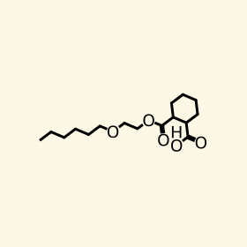 CCCCCCOCCOC(=O)C1CCCCC1C(=O)O